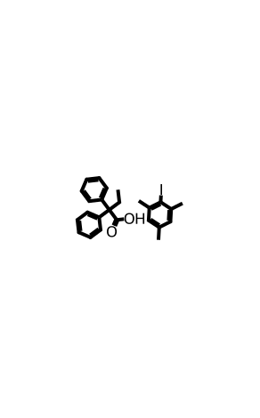 CCC(C(=O)O)(c1ccccc1)c1ccccc1.Cc1cc(C)c(I)c(C)c1